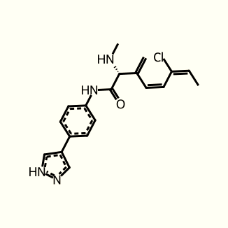 C=C(/C=C\C(Cl)=C/C)[C@@H](NC)C(=O)Nc1ccc(-c2cn[nH]c2)cc1